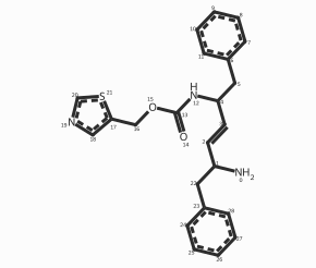 NC(/C=C/C(Cc1ccccc1)NC(=O)OCc1cncs1)Cc1ccccc1